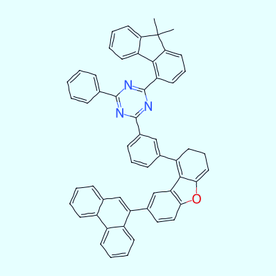 CC1(C)c2ccccc2-c2c(-c3nc(-c4ccccc4)nc(-c4cccc(C5=c6c(oc7ccc(-c8cc9ccccc9c9ccccc89)cc67)=CCC5)c4)n3)cccc21